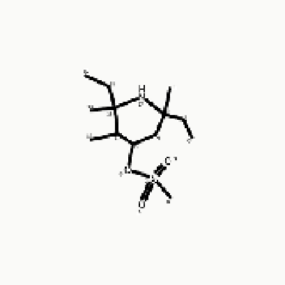 CCC1(C)CC(OS(C)(=O)=O)C(C)C(C)(CC)N1